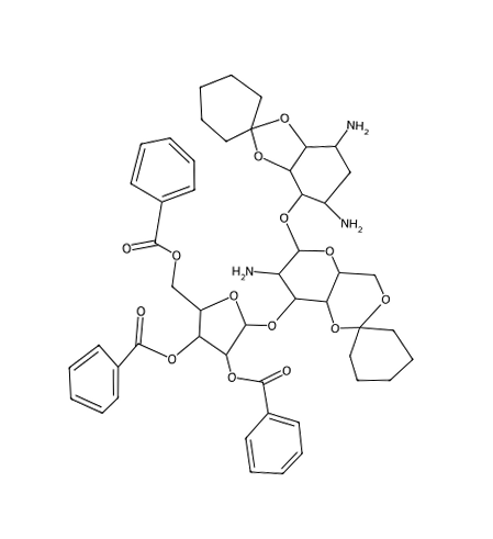 NC1CC(N)C2OC3(CCCCC3)OC2C1OC1OC2COC3(CCCCC3)OC2C(OC2OC(COC(=O)c3ccccc3)C(OC(=O)c3ccccc3)C2OC(=O)c2ccccc2)C1N